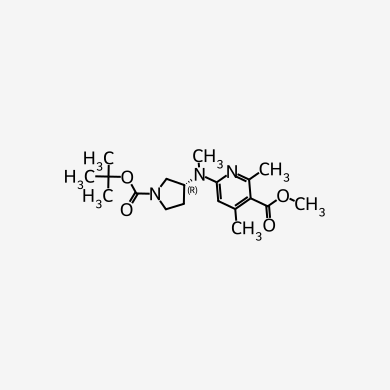 COC(=O)c1c(C)cc(N(C)[C@@H]2CCN(C(=O)OC(C)(C)C)C2)nc1C